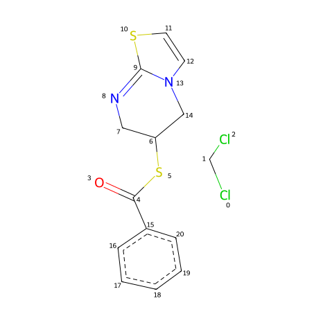 ClCCl.O=C(SC1CN=C2SC=CN2C1)c1ccccc1